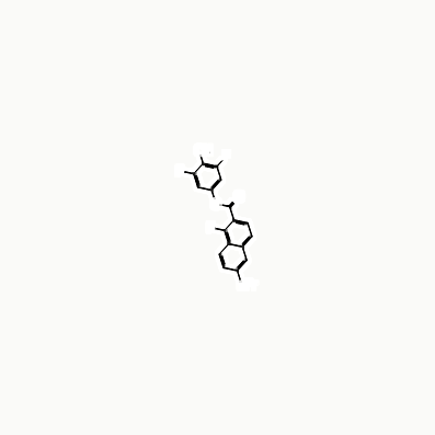 CCCc1ccc2c(F)c(C(=O)Oc3cc(F)c(C#N)c(F)c3)ccc2c1